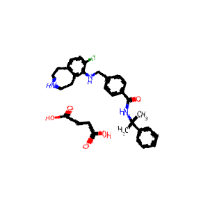 CC(C)(NC(=O)c1ccc(CNc2c(Cl)ccc3c2CCNCC3)cc1)c1ccccc1.O=C(O)CCC(=O)O